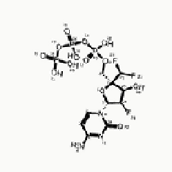 Nc1ccn([C@@H]2O[C@@](COP(=O)(O)OP(=O)(O)OP(=O)(O)O)(C(F)F)[C@@H](O)[C@H]2F)c(=O)n1